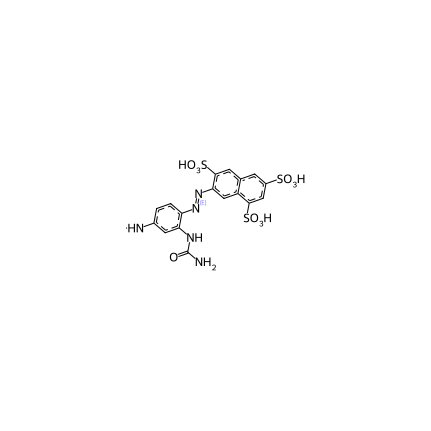 [NH]c1ccc(/N=N/c2cc3c(S(=O)(=O)O)cc(S(=O)(=O)O)cc3cc2S(=O)(=O)O)c(NC(N)=O)c1